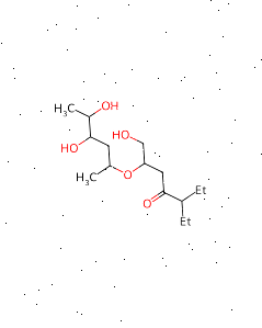 CCC(CC)C(=O)CC(CO)OC(C)CC(O)C(C)O